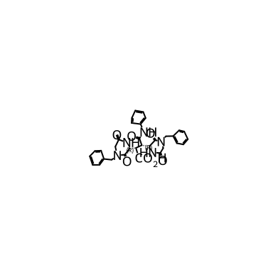 O=C1CN(Cc2ccccc2)C(=O)[C@@H](C(C(=O)O)C(C(=O)Nc2ccccc2)[C@H]2NC(=O)CN(Cc3ccccc3)C2=O)N1